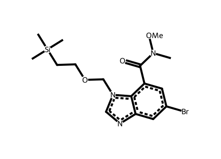 CON(C)C(=O)c1cc(Br)cc2ncn(COCC[Si](C)(C)C)c12